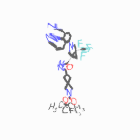 CC(C)(C)OC(=O)N1CC2(CC(c3nnc([C@]45CN(c6ccc(C#N)c7ncccc67)C[C@@]4(C(F)(F)F)C5)o3)C2)C1